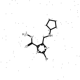 COC(=O)c1nc(Br)sc1CNC1CCCC1